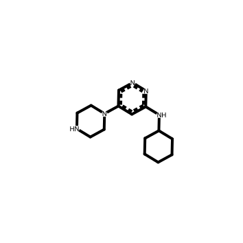 c1nnc(NC2CCCCC2)cc1N1CCNCC1